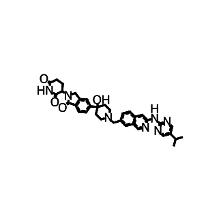 CC(C)c1cnc(Nc2cc3ccc(CN4CCC(O)(c5ccc6c(c5)CN(C5CCC(=O)NC5=O)C6=O)CC4)cc3cn2)nc1